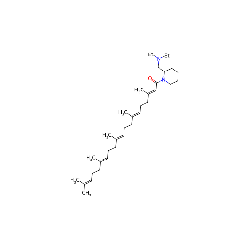 CCN(CC)CC1CCCCN1C(=O)/C=C(\C)CC/C=C(\C)CC/C=C(\C)CC/C=C(\C)CCC=C(C)C